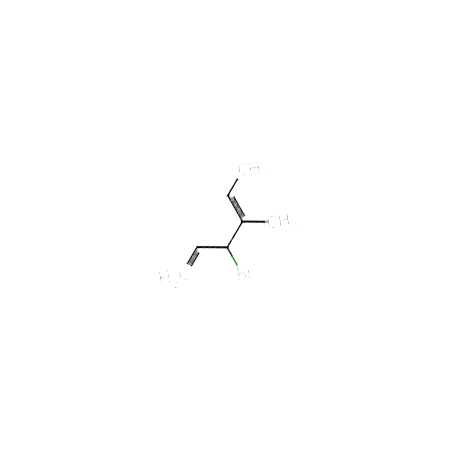 C=CC(Br)C(C)=CC